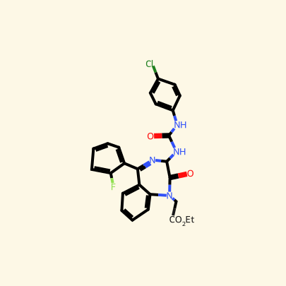 CCOC(=O)CN1C(=O)C(NC(=O)Nc2ccc(Cl)cc2)N=C(c2ccccc2F)c2ccccc21